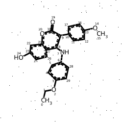 CCOc1ccc(Nc2c(-c3ccc(OC)cc3)c(=O)oc3cc(O)ccc23)cc1